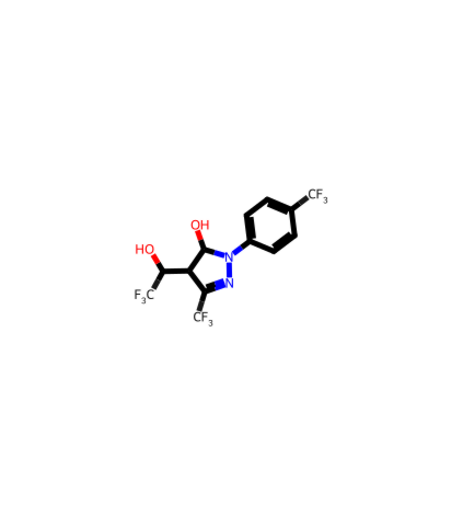 OC1C(C(O)C(F)(F)F)C(C(F)(F)F)=NN1c1ccc(C(F)(F)F)cc1